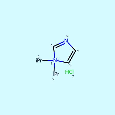 CC(C)[N+]1(C(C)C)C=CN=C1.Cl